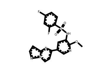 COc1ncc(-c2ccn3nccc3n2)cc1NS(=O)(=O)c1ccc(F)cc1F